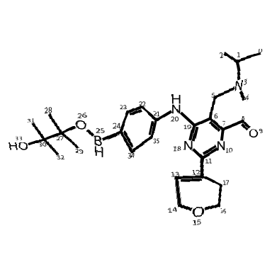 CC(C)N(C)Cc1c(C=O)nc(C2=CCOCC2)nc1Nc1ccc(BOC(C)(C)C(C)(C)O)cc1